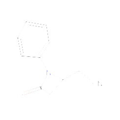 N#CCC1CC(=O)N1c1ccccc1